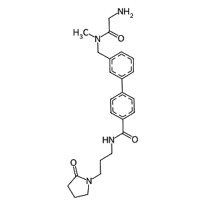 CN(Cc1cccc(-c2ccc(C(=O)NCCCN3CCCC3=O)cc2)c1)C(=O)CN